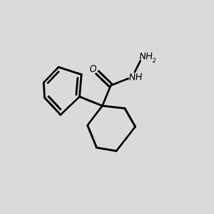 NNC(=O)C1(c2ccccc2)CCCCC1